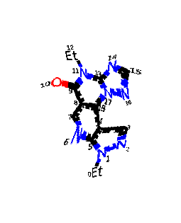 CCn1ncc2c1ncc1c(=O)n(CC)c3ncnn3c12